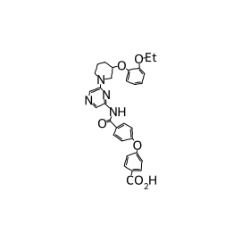 CCOc1ccccc1OC1CCCN(c2cncc(NC(=O)c3ccc(Oc4ccc(C(=O)O)cc4)cc3)n2)C1